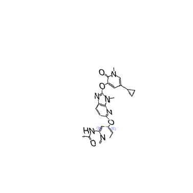 C=N/C(=C\C(=C/C)Oc1ccc2nc(Oc3cc(C4CC4)cn(C)c3=O)n(C)c2n1)NC(C)=O